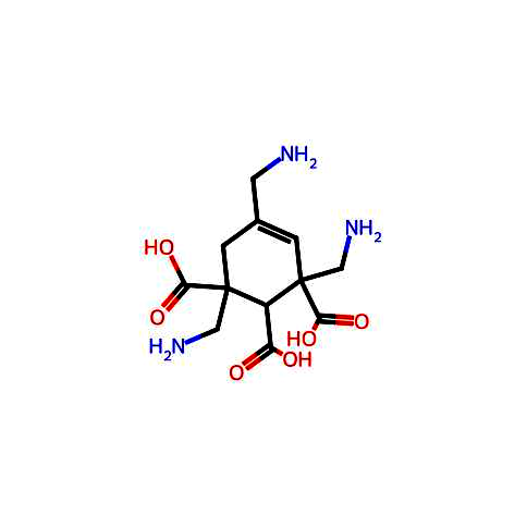 NCC1=CC(CN)(C(=O)O)C(C(=O)O)C(CN)(C(=O)O)C1